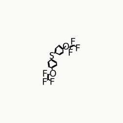 FC(F)=C(F)Oc1ccc(Sc2ccc(OC(F)=C(F)F)cc2)cc1